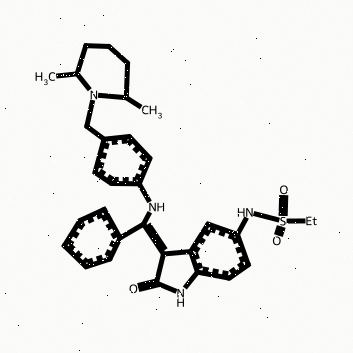 CCS(=O)(=O)Nc1ccc2c(c1)C(=C(Nc1ccc(CN3C(C)CCCC3C)cc1)c1ccccc1)C(=O)N2